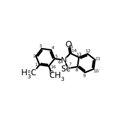 Cc1cccc(-n2[se]c3ccccc3c2=O)c1C